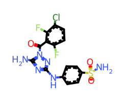 Nc1nc(Nc2ccc(S(N)(=O)=O)cc2)nn1C(=O)c1c(F)ccc(Cl)c1F